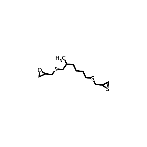 CC(CCCCSCC1CS1)CSCC1CO1